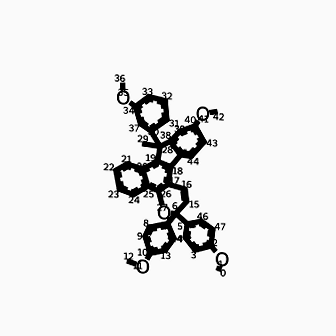 COc1ccc(C2(c3ccc(OC)cc3)C=Cc3c4c(c5ccccc5c3O2)C(C)(c2cccc(OC)c2)c2cc(OC)ccc2-4)cc1